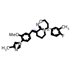 COc1cc(/C=C2\CCCN3C2=NOCC[C@@H]3c2ccc(F)c(C)c2)ccc1-n1cnc(C)c1